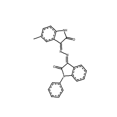 Cc1ccc2c(c1)/C(=N/N=C1\C(=O)N(c3ccccc3)c3ccccc31)C(=O)N2